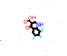 O=C(O)c1c[nH]c2c(F)c(F)c(F)cc2c1=O